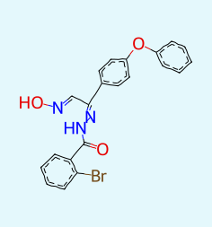 O=C(NN=C(C=NO)c1ccc(Oc2ccccc2)cc1)c1ccccc1Br